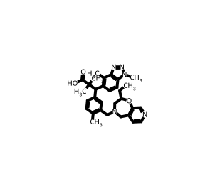 CCC1CN(Cc2cc(C(c3ccc4c(nnn4C)c3C)C(C)(C)C(=O)O)ccc2C)Cc2ccncc2O1